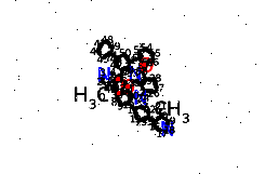 Cc1cnccc1-c1ccc2c3ccc(-c4ccncc4C)cc3n(-c3cccc4c3C(=O)N(c3c(-c5ccccc5)cc(-c5ccccc5)cc3-c3ccccc3)C4=O)c2c1